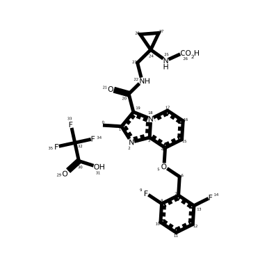 Cc1nc2c(OCc3c(F)cccc3F)cccn2c1C(=O)NCC1(NC(=O)O)CC1.O=C(O)C(F)(F)F